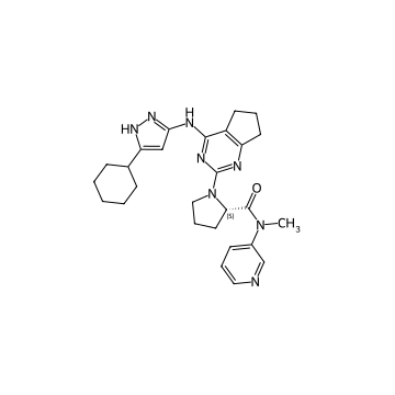 CN(C(=O)[C@@H]1CCCN1c1nc2c(c(Nc3cc(C4CCCCC4)[nH]n3)n1)CCC2)c1cccnc1